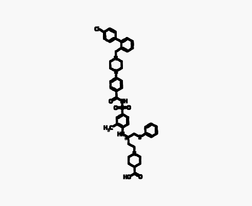 Cc1cc(S(=O)(=O)NC(=O)c2ccc(N3CCN(Cc4ccccc4-c4ccc(Cl)cc4)CC3)cc2)ccc1N[C@H](CCN1CCC(C(=O)O)CC1)CSc1ccccc1